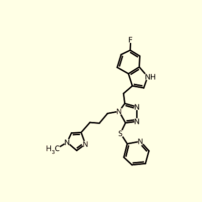 Cn1cnc(CCCn2c(Cc3c[nH]c4cc(F)ccc34)nnc2Sc2ccccn2)c1